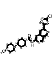 Cc1nnc(-c2cc3cc(NC(=O)[C@H]4CC[C@H](N5CCN(C)CC5)CC4)ncc3cn2)s1